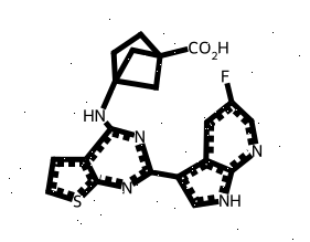 O=C(O)C12CCC(Nc3nc(-c4c[nH]c5ncc(F)cc45)nc4sccc34)(C1)C2